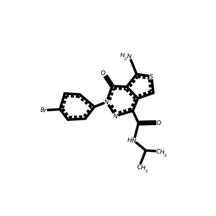 CC(C)NC(=O)c1nn(-c2ccc(Br)cc2)c(=O)c2c(N)scc12